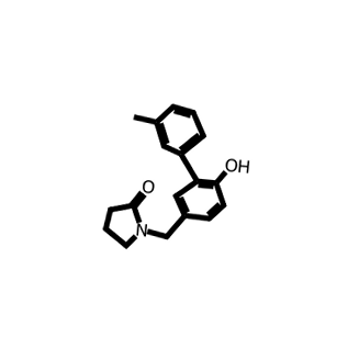 Cc1cccc(-c2cc(CN3CCCC3=O)ccc2O)c1